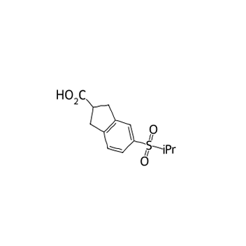 CC(C)S(=O)(=O)c1ccc2c(c1)CC(C(=O)O)C2